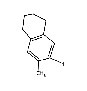 Cc1cc2c(cc1I)CCCC2